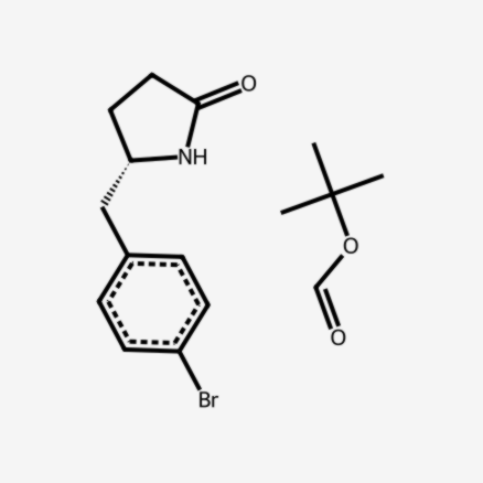 CC(C)(C)OC=O.O=C1CC[C@@H](Cc2ccc(Br)cc2)N1